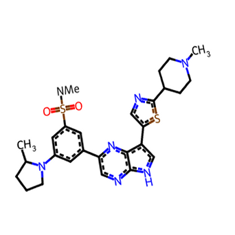 CNS(=O)(=O)c1cc(-c2cnc3[nH]cc(-c4cnc(C5CCN(C)CC5)s4)c3n2)cc(N2CCCC2C)c1